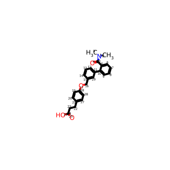 CN(C)C(=O)c1ccccc1-c1cccc(COc2ccc(CCC(=O)O)cc2)c1